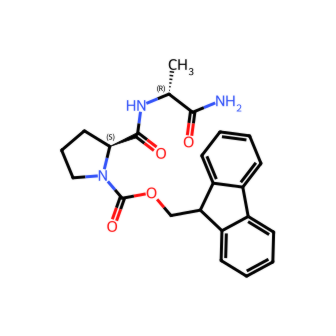 C[C@@H](NC(=O)[C@@H]1CCCN1C(=O)OCC1c2ccccc2-c2ccccc21)C(N)=O